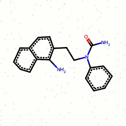 NC(=O)N(CCc1ccc2ccccc2c1N)c1ccccc1